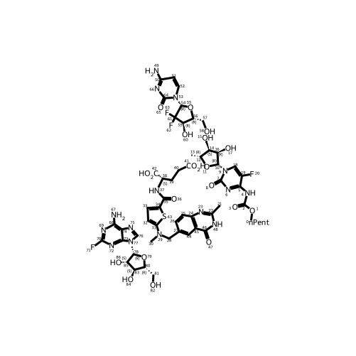 CCCCCOC(=O)Nc1nc(=O)n([C@@H]2O[C@H](C)[C@@H](O)[C@H]2O)cc1F.Cc1nc2ccc(CN(C)c3ccc(C(=O)N[C@@H](CCC(=O)O)C(=O)O)s3)cc2c(=O)[nH]1.Nc1ccn([C@@H]2O[C@H](CO)[C@@H](O)C2(F)F)c(=O)n1.Nc1nc(F)nc2c1ncn2[C@@H]1O[C@H](CO)[C@@H](O)[C@@H]1O